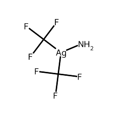 [NH2][Ag]([C](F)(F)F)[C](F)(F)F